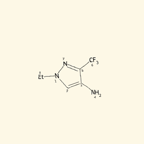 CCn1cc(N)c(C(F)(F)F)n1